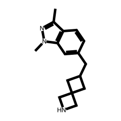 Cc1nn(C)c2cc(CC3CC4(CNC4)C3)ccc12